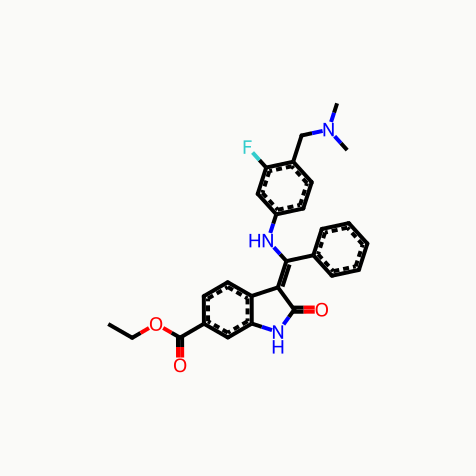 CCOC(=O)c1ccc2c(c1)NC(=O)C2=C(Nc1ccc(CN(C)C)c(F)c1)c1ccccc1